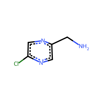 NCc1cnc(Cl)cn1